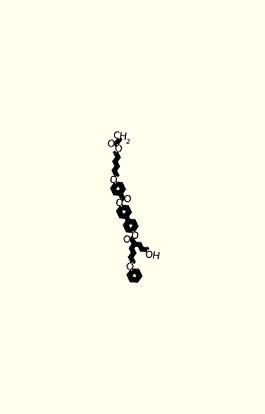 C=CC(=O)OCCCCCCOc1ccc(C(=O)Oc2ccc(-c3ccc(OC(=O)C(CCCO)CCCCOc4ccccc4)cc3)cc2)cc1